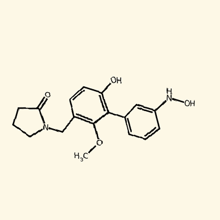 COc1c(CN2CCCC2=O)ccc(O)c1-c1cccc(NO)c1